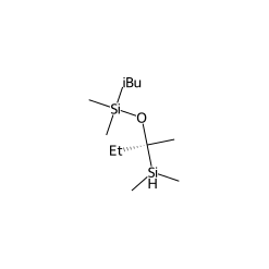 CCC(C)[Si](C)(C)O[C@](C)(CC)[SiH](C)C